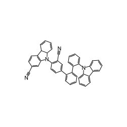 N#Cc1ccc2c(c1)N(c1ccc(-c3ccccc3-c3ccccc3-n3c4ccccc4c4ccccc43)cc1C#N)C1C=CC=CC21